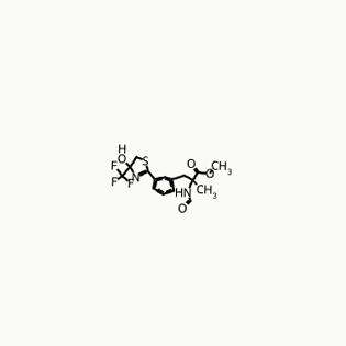 COC(=O)[C@@](C)(Cc1cccc(C2=NC(O)(C(F)(F)F)CS2)c1)NC=O